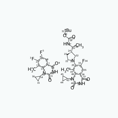 Cc1c(F)c(F)cc2c(=O)[nH]c(=O)n(C3CC3)c12.Cc1c(N2CC[C@@H]([C@H](C)NC(=O)OC(C)(C)C)C2)c(F)cc2c(=O)[nH]c(=O)n(C3CC3)c12